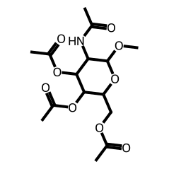 COC1OC(COC(C)=O)C(OC(C)=O)C(OC(C)=O)C1NC(C)=O